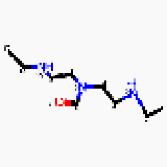 CCNCCN(C=O)CCNCC